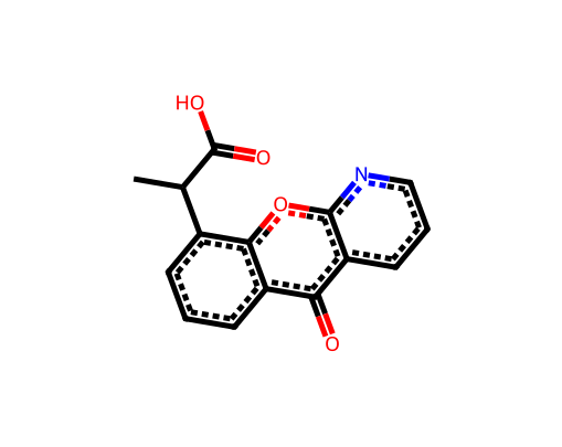 CC(C(=O)O)c1cccc2c(=O)c3cccnc3oc12